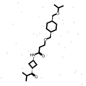 CC(C)OC[C@H]1CC[C@@H](COCCC(=O)N[C@H]2C[C@@H](C(=O)C(C)C)C2)CC1